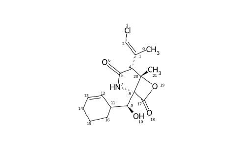 C/C(=C\Cl)[C@H]1C(=O)N[C@@]2([C@@H](O)C3C=CCCC3)C(=O)O[C@@]12C